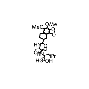 COc1c2c(c3c(c1OC)OCO3)CC(C(=O)N[C@@H](CO)C(=O)N[C@@H](CC(C)C)B(O)O)CC2